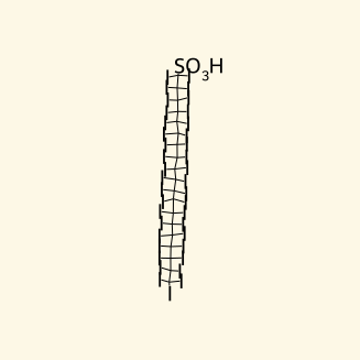 O=S(=O)(O)C(I)(I)C(I)(I)C(I)(I)C(I)(I)C(I)(I)C(I)(I)C(I)(I)C(I)(I)C(I)(I)C(I)(I)C(I)(I)C(I)(I)C(I)(I)C(I)(I)C(I)(I)C(I)(I)C(I)(I)C(I)(I)C(I)(I)I